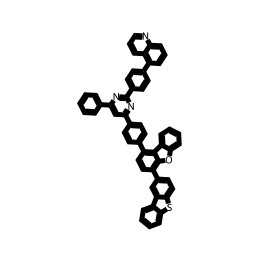 c1ccc(-c2cc(-c3ccc(-c4ccc(-c5ccc6sc7ccccc7c6c5)c5oc6ccccc6c45)cc3)nc(-c3ccc(-c4cccc5ncccc45)cc3)n2)cc1